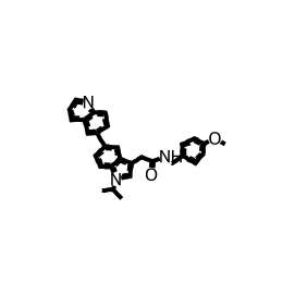 COc1ccc(CNC(=O)Cc2cn(C(C)C)c3ccc(-c4ccc5ncccc5c4)cc23)cc1